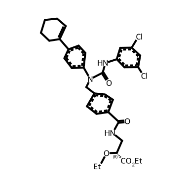 CCOC(=O)[C@@H](CNC(=O)c1ccc(CN(C(=O)Nc2cc(Cl)cc(Cl)c2)c2ccc(C3=CCCCC3)cc2)cc1)OCC